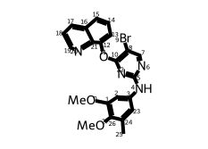 COc1cc(Nc2ncc(Br)c(Oc3cccc4cccnc34)n2)cc(C)c1OC